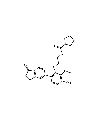 COc1c(O)ccc(-c2ccc3c(c2)CCC3=O)c1OCCOC(=O)C1CCCC1